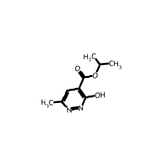 Cc1cc(C(=O)OC(C)C)c(O)nn1